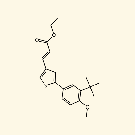 CCOC(=O)C=Cc1csc(-c2ccc(OC)c(C(C)(C)C)c2)c1